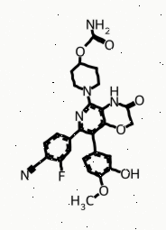 COc1ccc(-c2c(-c3ccc(C#N)c(F)c3)nc(N3CCC(OC(N)=O)CC3)c3c2OCC(=O)N3)cc1O